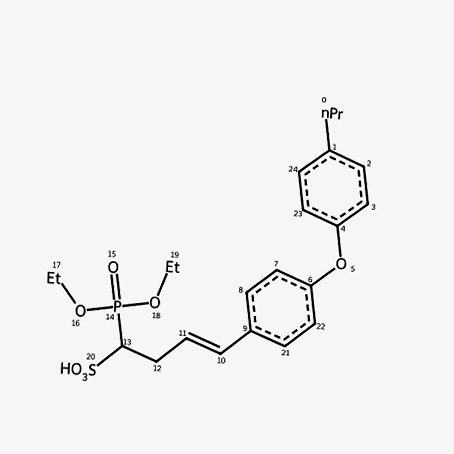 CCCc1ccc(Oc2ccc(C=CCC(P(=O)(OCC)OCC)S(=O)(=O)O)cc2)cc1